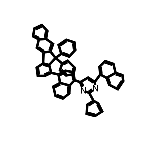 c1ccc(-c2nc(-c3cccc4ccccc34)cc(-c3ccc(-c4cccc5c4C(c4ccccc4)(c4ccccc4)c4cc6ccccc6cc4-5)c4ccccc34)n2)cc1